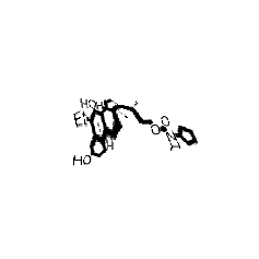 CC[C@@H]1C2C[C@H](O)CC[C@]2(C)[C@H]2CC[C@]3(C)[C@@H]([C@H](C)CCOC(=O)NC4CCCC4)CC[C@H]3C2[C@@H]1O